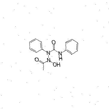 CC(=O)N(O)N(C(=O)Nc1ccccc1)c1ccccc1